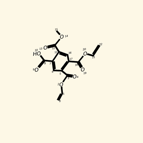 C=COC(=O)c1cc(C(=O)O)c(C(=O)OC)cc1C(=O)OC=C